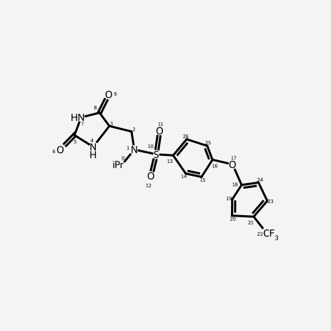 CC(C)N(CC1NC(=O)NC1=O)S(=O)(=O)c1ccc(Oc2ccc(C(F)(F)F)cc2)cc1